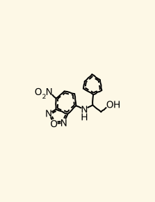 O=[N+]([O-])c1ccc(NC(CO)c2ccccc2)c2nonc12